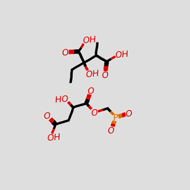 CCC(O)(C(=O)O)C(C)C(=O)O.O=C(O)CC(O)C(=O)OCP(=O)=O